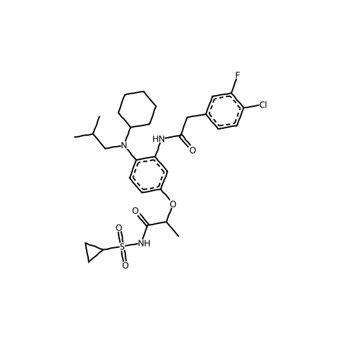 CC(C)CN(c1ccc(OC(C)C(=O)NS(=O)(=O)C2CC2)cc1NC(=O)Cc1ccc(Cl)c(F)c1)C1CCCCC1